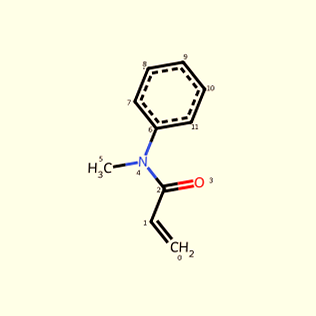 C=CC(=O)N(C)c1c[c]ccc1